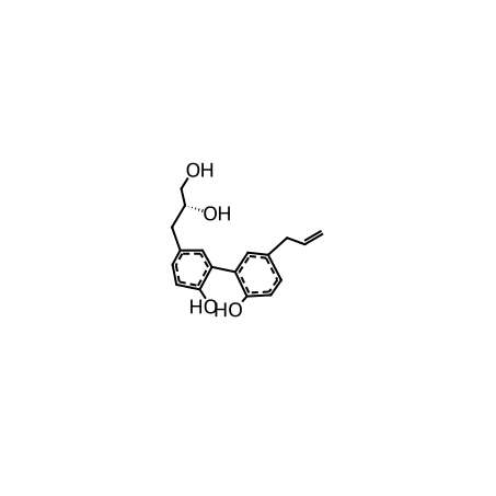 C=CCc1ccc(O)c(-c2cc(C[C@@H](O)CO)ccc2O)c1